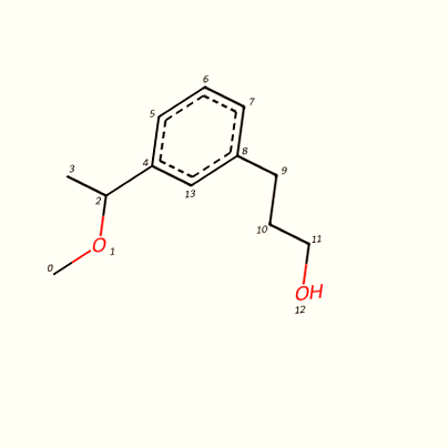 COC(C)c1cccc(CCCO)c1